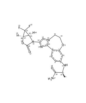 C[C@H](Nc1ccc2c(c1)OCCn1cc(N3C(=O)O[C@@H]4[C@H]3C4(F)F)nc1-2)C(N)=O